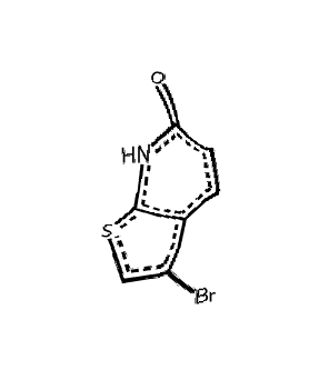 O=c1ccc2c(Br)csc2[nH]1